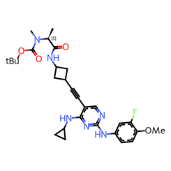 COc1ccc(Nc2ncc(C#CC3CC(NC(=O)[C@H](C)N(C)C(=O)OC(C)(C)C)C3)c(NC3CC3)n2)cc1F